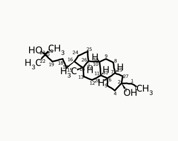 CC[C@]1(O)CC[C@H]2[C@@H](CC[C@@H]3[C@@H]2CC[C@]2(C)[C@@H](CCCC(C)(C)O)CC[C@@H]32)C1